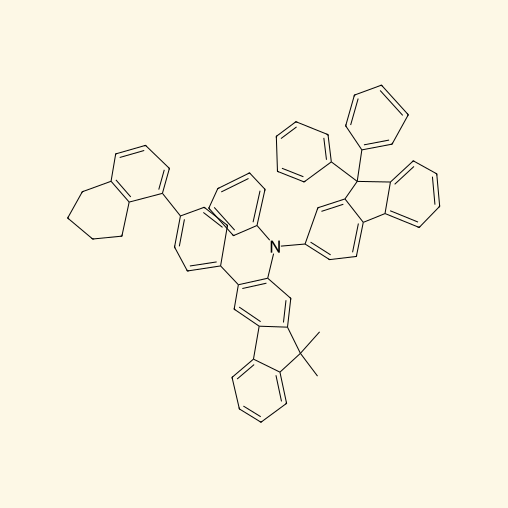 CC1(C)c2ccccc2-c2cc(-c3ccc(-c4cccc5c4CCCC5)cc3)c(N(c3ccccc3)c3ccc4c(c3)C(c3ccccc3)(c3ccccc3)c3ccccc3-4)cc21